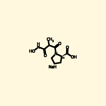 CC(C(=O)NO)C(=O)N1CCC[C@H]1C(=O)O.[NaH]